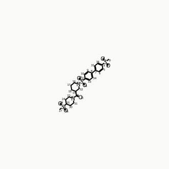 CS(=O)(=O)c1ccc(-c2ccc(S(=O)(=O)N3CCCC(C(=O)N4CCC(S(C)(=O)=O)CC4)C3)cc2)cc1